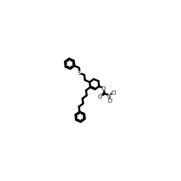 O=C(OC1C=C(CCCCCc2ccccc2)C(CCSCc2ccccc2)CC1)N(Cl)Cl